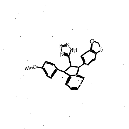 COc1ccc(C2c3ccccc3C(c3ccc4c(c3)OCO4)C2c2nnn[nH]2)cc1